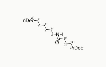 [CH2]CCCCCCCCCCCCCCCNC(=O)CCCCCCCCCCCCC